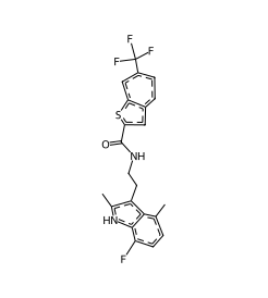 Cc1[nH]c2c(F)ccc(C)c2c1CCNC(=O)c1cc2ccc(C(F)(F)F)cc2s1